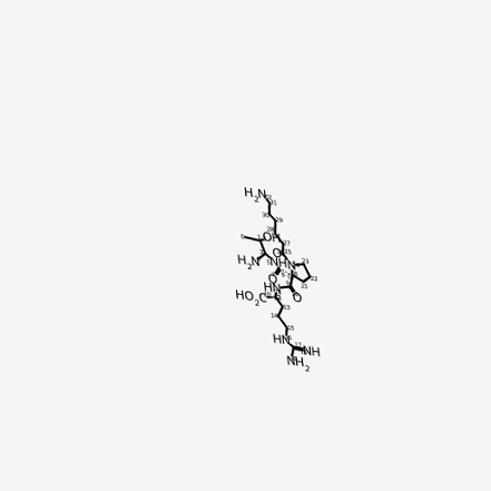 CC(O)C(N)NC(=O)[C@@]1(C(=O)N[C@@H](CCCNC(=N)N)C(=O)O)CCCN1C(=O)CCCCCN